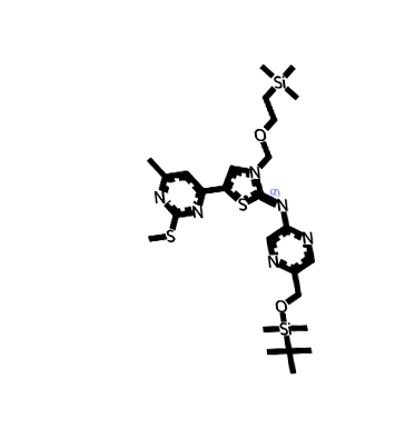 CSc1nc(C)cc(-c2cn(COCC[Si](C)(C)C)/c(=N/c3cnc(CO[Si](C)(C)C(C)(C)C)cn3)s2)n1